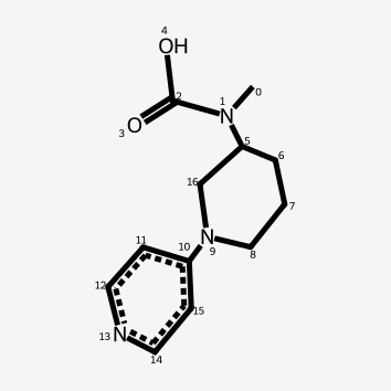 CN(C(=O)O)C1CCCN(c2ccncc2)C1